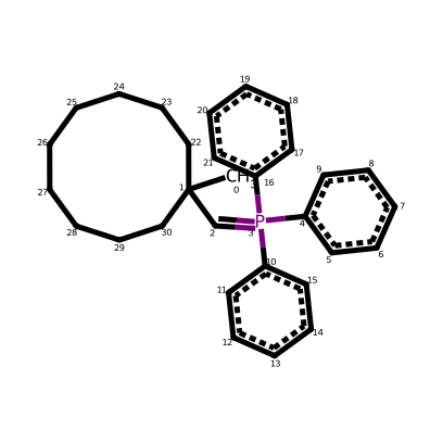 CC1(C=P(c2ccccc2)(c2ccccc2)c2ccccc2)CCCCCCCCC1